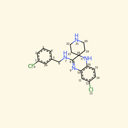 Clc1cccc(CNC2=Nc3cc(Cl)ccc3NC23CCNCC3)c1